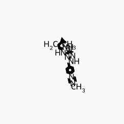 C=C(/C=C(\NC)Nc1nc(NCc2ccc(N3CCN(C)CC3)cc2)ncc1Br)C1CC1